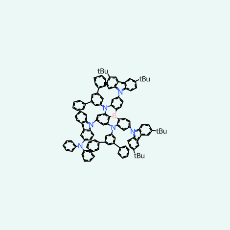 CC(C)(C)c1ccc2c(c1)c1cc(C(C)(C)C)ccc1n2-c1ccc2c(c1)N(c1cc(-c3ccccc3)cc(-c3ccccc3)c1)c1cc(-n3c4ccccc4c4cc(N(c5ccccc5)c5ccccc5)ccc43)cc3c1B2c1ccc(-n2c4ccc(C(C)(C)C)cc4c4cc(C(C)(C)C)ccc42)cc1N3c1cc(-c2ccccc2)cc(-c2ccccc2)c1